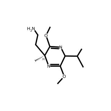 COC1=N[C@@](C)(CCN)C(OC)=NC1C(C)C